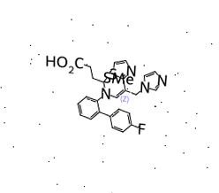 CSC(CCC(=O)O)N(/C=C(/Cn1ccnc1)c1nccs1)c1ccccc1-c1ccc(F)cc1